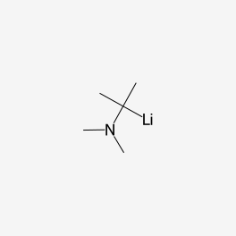 [Li][C](C)(C)N(C)C